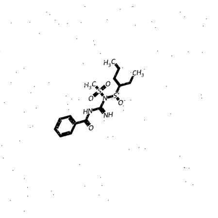 CCCC(CC)[S+]([O-])N(C(=N)NC(=O)c1ccccc1)S(C)(=O)=O